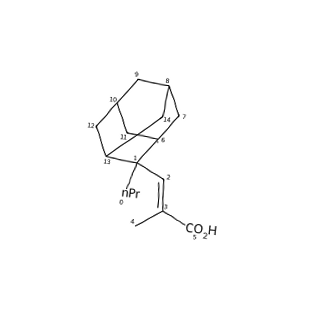 CCCC1(C=C(C)C(=O)O)[C]2CC3CC(C2)CC1C3